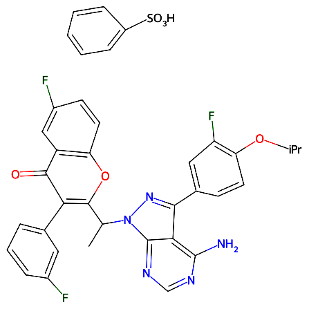 CC(C)Oc1ccc(-c2nn(C(C)c3oc4ccc(F)cc4c(=O)c3-c3cccc(F)c3)c3ncnc(N)c23)cc1F.O=S(=O)(O)c1ccccc1